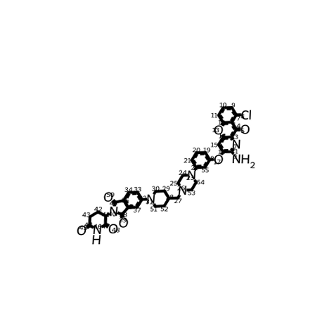 Nc1nc2c(=O)c3c(Cl)cccc3oc2cc1Oc1cccc(N2CCN(CC3CCN(c4ccc5c(c4)C(=O)N(C4CCC(=O)NC4=O)C5=O)CC3)CC2)c1